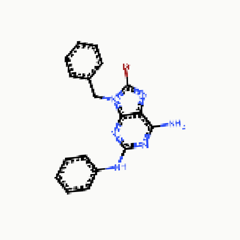 Nc1nc(Nc2ccccc2)nc2c1nc(Br)n2Cc1ccccc1